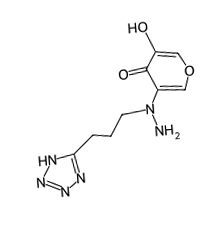 NN(CCCc1nnn[nH]1)c1cocc(O)c1=O